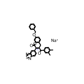 Cc1ccc(C(=O)/C(Cc2ccc(OCc3ccccc3)cc2)=C(/C(=O)[O-])c2ccc3nsnc3c2)cc1C.[Na+]